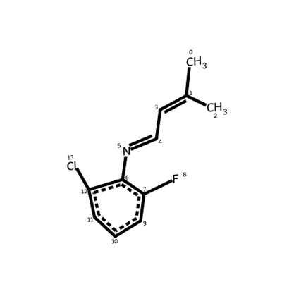 CC(C)=C/C=N/c1c(F)cccc1Cl